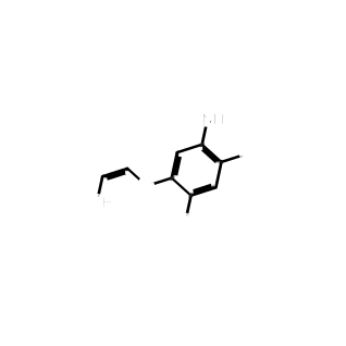 C/C=C\Oc1cc(N)c(Cl)cc1C(=O)O